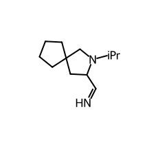 CC(C)N1CC2(CCCC2)CC1C=N